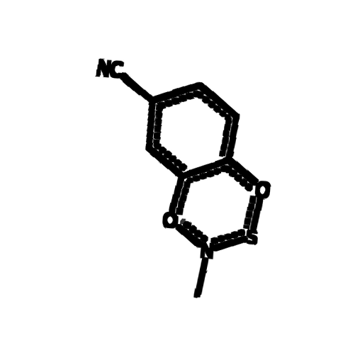 Cn1oc2cc(C#N)ccc2os1